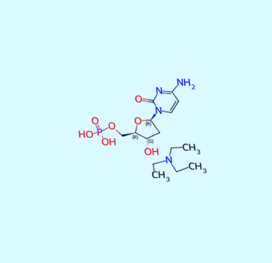 CCN(CC)CC.Nc1ccn([C@H]2C[C@H](O)[C@@H](COP(=O)(O)O)O2)c(=O)n1